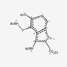 CCOC(=O)c1oc2ccc(OC(C)=O)c(CNC(C)=O)c2c1NC(C)=O